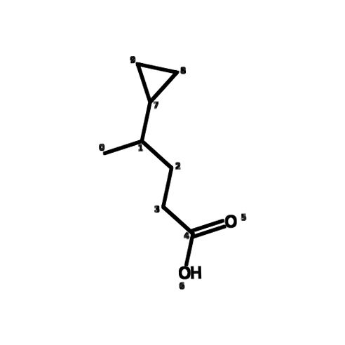 CC(CCC(=O)O)C1CC1